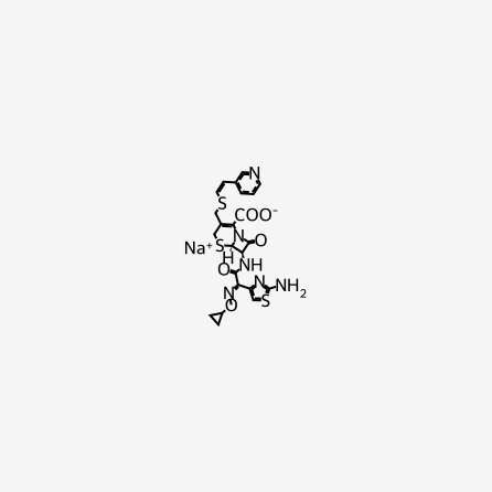 Nc1nc(/C(=N\OC2CC2)C(=O)N[C@@H]2C(=O)N3C(C(=O)[O-])=C(CS/C=C\c4cccnc4)CS[C@H]23)cs1.[Na+]